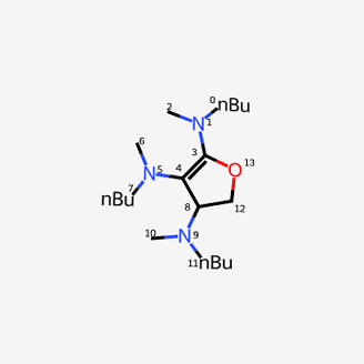 CCCCN(C)C1=C(N(C)CCCC)C(N(C)CCCC)CO1